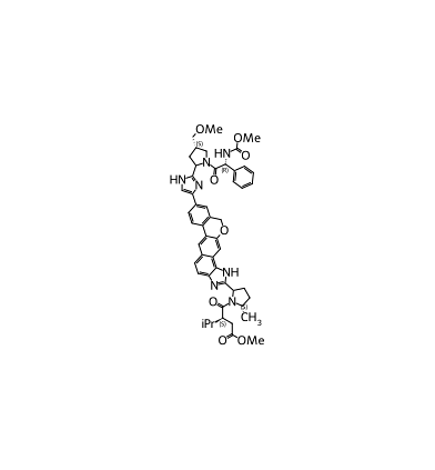 COC[C@H]1CC(c2nc(-c3ccc4c(c3)COc3cc5c(ccc6nc(C7CC[C@H](C)N7C(=O)[C@@H](CC(=O)OC)C(C)C)[nH]c65)cc3-4)c[nH]2)N(C(=O)[C@H](NC(=O)OC)c2ccccc2)C1